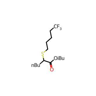 CCCCC(SCCCCC(F)(F)F)C(=O)OCC(C)C